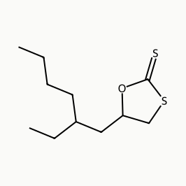 CCCCC(CC)CC1CSC(=S)O1